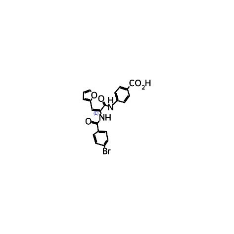 O=C(Nc1ccc(C(=O)O)cc1)/C(=C\c1ccco1)NC(=O)c1ccc(Br)cc1